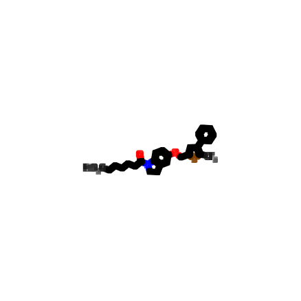 CCOC(=O)CCCCCC(=O)N1CCc2cc(OCc3cc(-c4ccccc4)c(C(F)(F)F)s3)ccc21